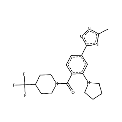 Cc1noc(-c2ccc(C(=O)N3CCC(C(F)(F)F)CC3)c(N3CCCC3)c2)n1